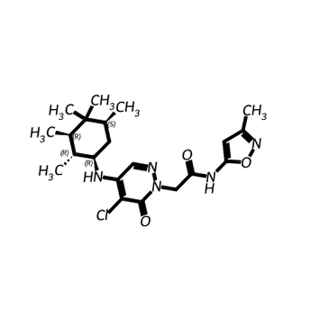 Cc1cc(NC(=O)Cn2ncc(N[C@@H]3C[C@H](C)C(C)(C)[C@H](C)[C@H]3C)c(Cl)c2=O)on1